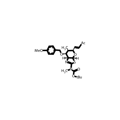 COc1ccc(CO[C@H]2[C@H](C)[C@@H](/C=C/C(C)=O)O[C@@H]3SC(N(C)C(=O)OC(C)(C)C)=N[C@H]23)cc1